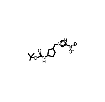 CC(C)(C)OC(=O)NC1CCC(Cn2cnc([N+](=O)[O-])c2)C1